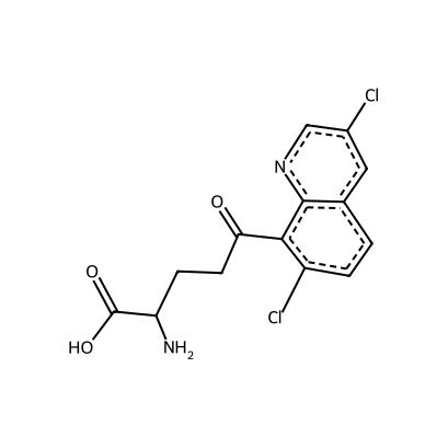 NC(CCC(=O)c1c(Cl)ccc2cc(Cl)cnc12)C(=O)O